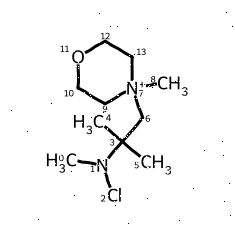 CN(Cl)C(C)(C)C[N+]1(C)CCOCC1